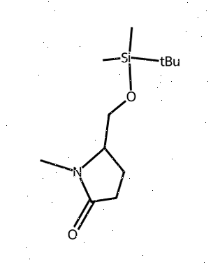 CN1C(=O)CCC1CO[Si](C)(C)C(C)(C)C